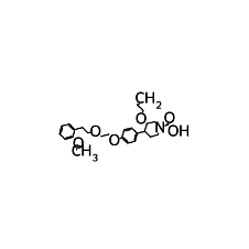 C=CCOC1CN(C(=O)O)CCC1c1ccc(OCCOCCc2ccccc2OC)cc1